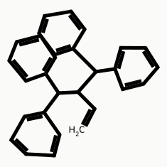 C=C[C](C(c1ccccc1)c1ccccc1)C(c1ccccc1)c1ccccc1